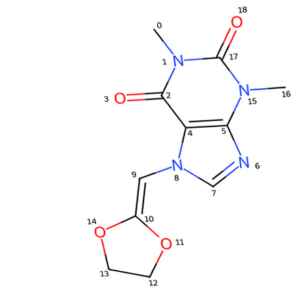 Cn1c(=O)c2c(ncn2C=C2OCCO2)n(C)c1=O